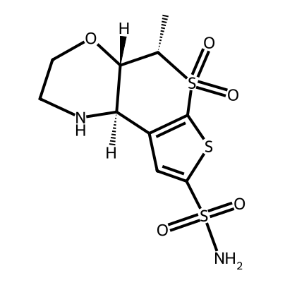 C[C@H]1[C@H]2OCCN[C@@H]2c2cc(S(N)(=O)=O)sc2S1(=O)=O